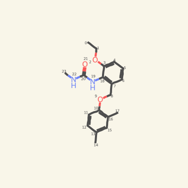 CCOc1cccc(COc2ccc(C)cc2C)c1NC(=O)NC